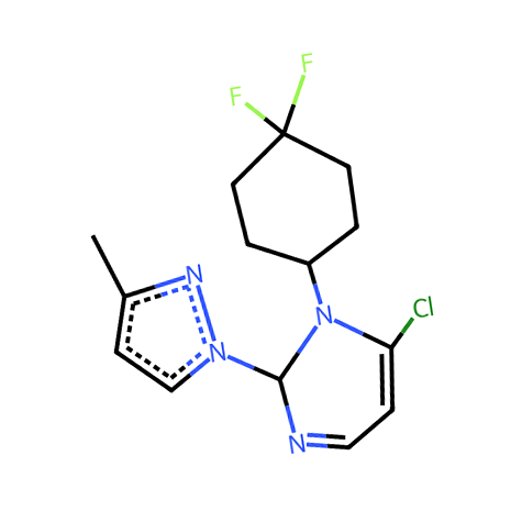 Cc1ccn(C2N=CC=C(Cl)N2C2CCC(F)(F)CC2)n1